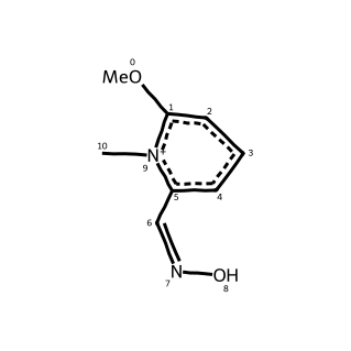 COc1cccc(/C=N\O)[n+]1C